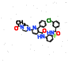 CC(=O)N1CCN(c2ccc(C(=O)NC3=CC=CC(F)(NC(=O)c4cccc(Cl)c4)C3)c(-c3ccccc3)n2)CC1